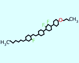 CCCCCCCC1CCC(CCC2CCC(C3CCC(C4CCC(OCCCC)CC4)C(F)C3F)CC2)C(F)C1